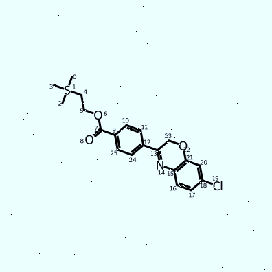 CS(C)(C)CCOC(=O)c1ccc(C2=Nc3ccc(Cl)cc3OC2)cc1